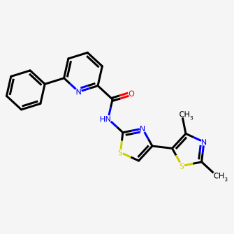 Cc1nc(C)c(-c2csc(NC(=O)c3cccc(-c4ccccc4)n3)n2)s1